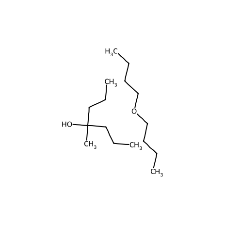 CCCC(C)(O)CCC.CCCCOCCCC